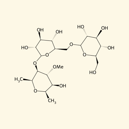 CO[C@@H]1[C@@H](O)[C@@H](C)O[C@@H](C)[C@H]1OC1O[C@H](COC2O[C@H](CO)[C@@H](O)[C@H](O)[C@H]2O)[C@@H](O)[C@H](O)[C@H]1O